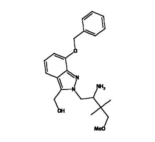 COCC(C)(C)C(N)Cn1nc2c(OCc3ccccc3)cccc2c1CO